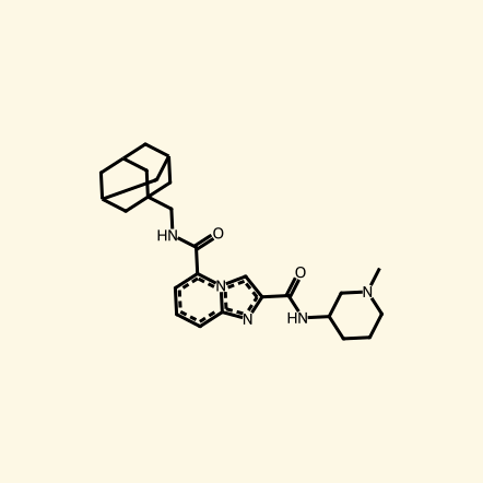 CN1CCCC(NC(=O)c2cn3c(C(=O)NCC45CC6CC(CC(C6)C4)C5)cccc3n2)C1